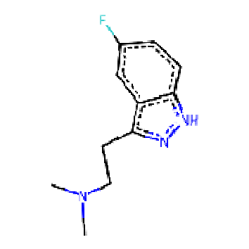 CN(C)CCc1n[nH]c2ccc(F)cc12